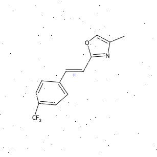 Cc1coc(/C=C/c2ccc(C(F)(F)F)cc2)n1